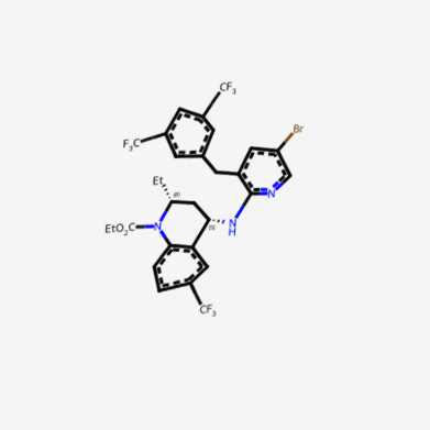 CCOC(=O)N1c2ccc(C(F)(F)F)cc2[C@@H](Nc2ncc(Br)cc2Cc2cc(C(F)(F)F)cc(C(F)(F)F)c2)C[C@H]1CC